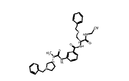 CN(C(=O)Nc1cccc(C(=O)N[C@@H](CSCc2ccccc2)C(=O)NCC#N)c1)[C@@H]1CCN(Cc2ccccc2)C1